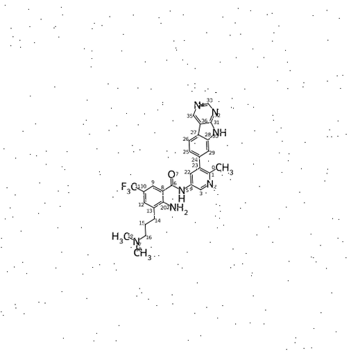 Cc1ncc(NC(=O)c2cc(C(F)(F)F)cc(CCCN(C)C)c2N)cc1-c1ccc2c(c1)[nH]c1ncncc12